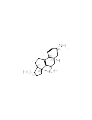 C[C@]12CCC3=C([C@@H](O)C[C@@H]4C[C@@H](N)C=C[C@]34C)[C@@H]1CC[C@@H]2O